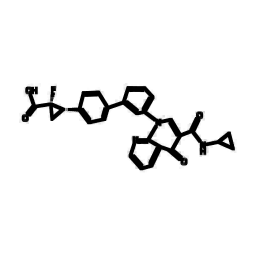 O=C(NC1CC1)c1cn(-c2cccc(-c3ccc([C@@H]4C[C@@]4(F)C(=O)O)cc3)c2)c2ncccc2c1=O